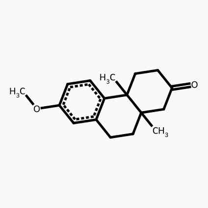 COc1ccc2c(c1)CCC1(C)CC(=O)CCC21C